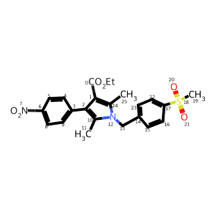 CCOC(=O)c1c(-c2ccc([N+](=O)[O-])cc2)c(C)n(Cc2ccc(S(C)(=O)=O)cc2)c1C